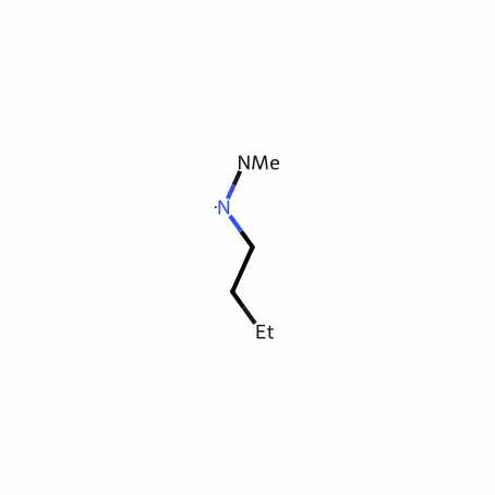 CCCC[N]NC